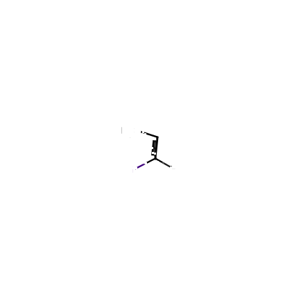 [CH2]C=C(I)CC